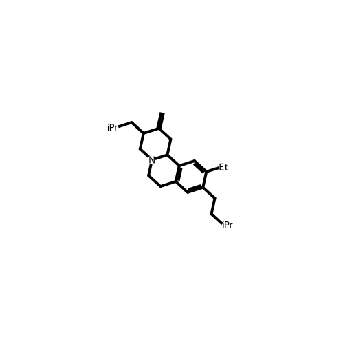 C=C1CC2c3cc(CC)c(CCC(C)C)cc3CCN2CC1CC(C)C